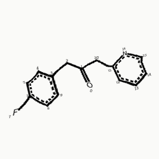 O=C(Cc1ccc(F)cc1)Cc1ccccn1